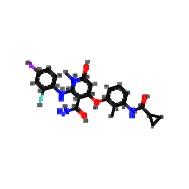 Cc1c(NC(=O)C2CC2)cccc1Oc1cc(=O)n(C)c(Nc2ccc(I)cc2F)c1C(N)=O